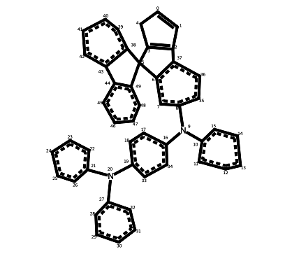 C1=CC2=C(C1)C1(c3cc(N(c4ccccc4)c4ccc(N(c5ccccc5)c5ccccc5)cc4)ccc32)c2ccccc2-c2ccccc21